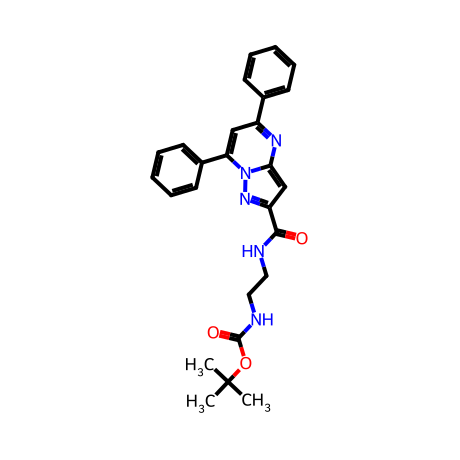 CC(C)(C)OC(=O)NCCNC(=O)c1cc2nc(-c3ccccc3)cc(-c3ccccc3)n2n1